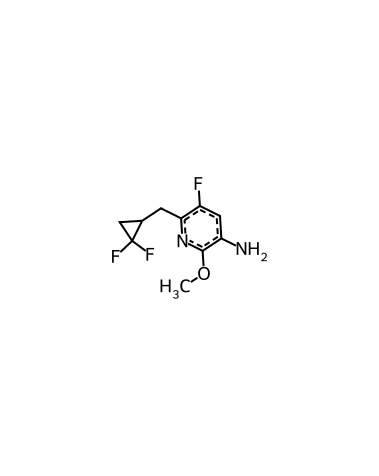 COc1nc(CC2CC2(F)F)c(F)cc1N